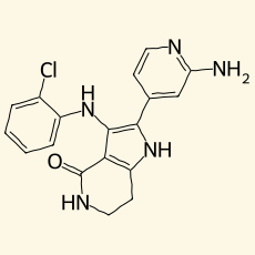 Nc1cc(-c2[nH]c3c(c2Nc2ccccc2Cl)C(=O)NCC3)ccn1